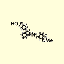 COc1cc(CCNCc2cc(-c3ccc(C(=O)O)cc3)c3ccccc3c2)ccc1F